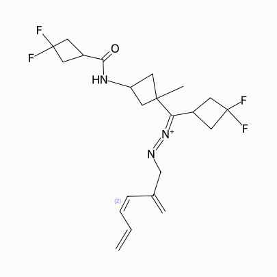 C=C/C=C\C(=C)CN=[N+]=C(C1CC(F)(F)C1)C1(C)CC(NC(=O)C2CC(F)(F)C2)C1